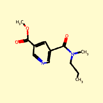 CCCN(C)C(=O)c1cncc(C(=O)OC)c1